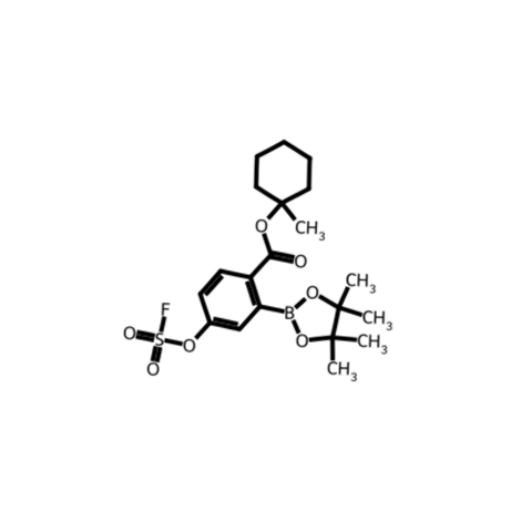 CC1(OC(=O)c2ccc(OS(=O)(=O)F)cc2B2OC(C)(C)C(C)(C)O2)CCCCC1